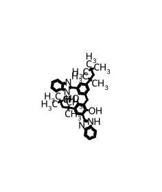 CC(C)(C)CC(C)(C)c1cc(Cc2cc(C(C)(C)CC(C)(C)C)cc(-c3nc4ccccc4[nH]3)c2O)c(O)c(-c2nc3ccccc3[nH]2)c1